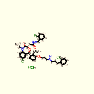 COc1c(OCCCNCCCc2ccccc2Cl)cccc1[C@@H]1O[C@@H](CC(=O)NCc2ccccc2F)C(=O)N(CC(C)(C)C)c2ccc(Cl)cc21.Cl